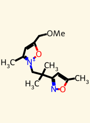 COCc1cc(C)[n+](CC(C)(C)c2cc(C)on2)o1